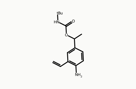 C=Cc1cc(C(C)OC(=O)NC(C)(C)C)ccc1N